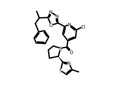 C[C](Cc1ccccc1)c1nnc(-c2cc(C(=O)N3CCC[C@@H]3c3nc(C)cs3)cc(Cl)n2)o1